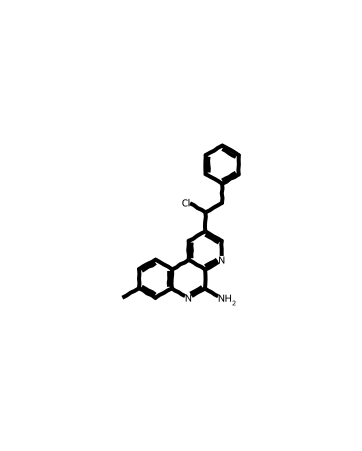 Cc1ccc2c(c1)nc(N)c1ncc(C(Cl)Cc3ccccc3)cc12